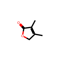 CC1=C(C)C(=O)OC1